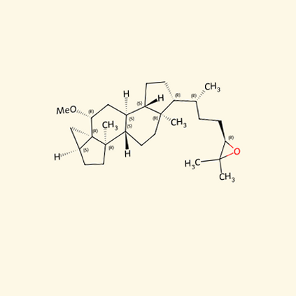 CO[C@@H]1C[C@H]2[C@@H]3CC[C@H]([C@H](C)CC[C@H]4OC4(C)C)[C@@]3(C)CC[C@@H]2[C@@]2(C)CC[C@H]3C[C@]312